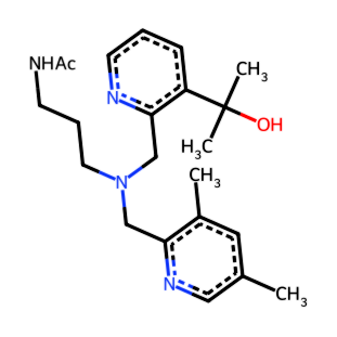 CC(=O)NCCCN(Cc1ncc(C)cc1C)Cc1ncccc1C(C)(C)O